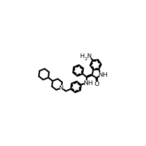 Nc1ccc2c(c1)/C(=C(/Nc1ccc(CN3CCC(C4CCCCC4)CC3)cc1)c1ccccc1)C(=O)N2